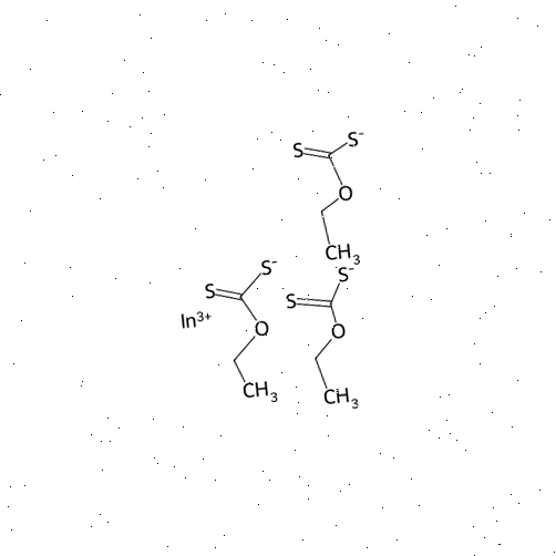 CCOC(=S)[S-].CCOC(=S)[S-].CCOC(=S)[S-].[In+3]